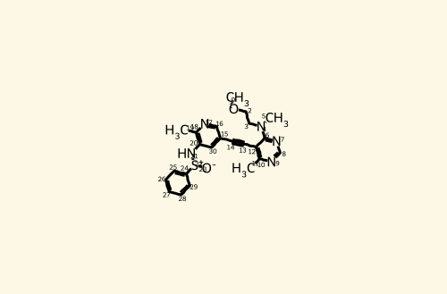 COCCN(C)c1ncnc(C)c1C#Cc1cnc(C)c(N[S+]([O-])c2ccccc2)c1